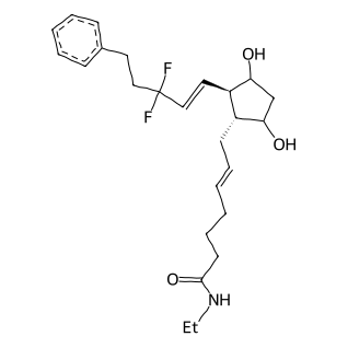 CCNC(=O)CCC/C=C/C[C@H]1C(O)CC(O)[C@@H]1/C=C/C(F)(F)CCc1ccccc1